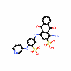 Nc1c(S(=O)(=O)O)cc(Nc2ccc(Nc3cccnc3)c(S(=O)(=O)O)c2)c2c1C(=O)c1ccccc1C2=O